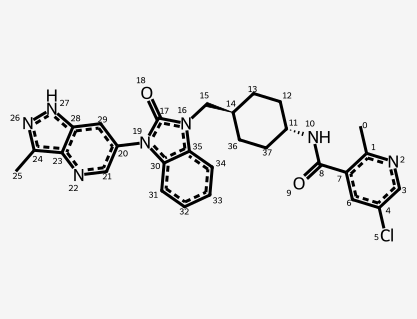 Cc1ncc(Cl)cc1C(=O)N[C@H]1CC[C@H](Cn2c(=O)n(-c3cnc4c(C)n[nH]c4c3)c3ccccc32)CC1